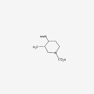 CNC1CCN(C(=O)O)CC1C